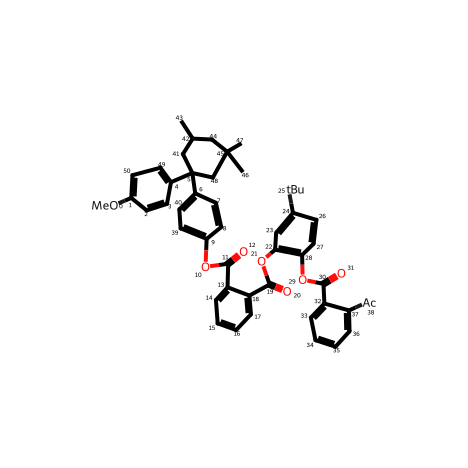 COc1ccc(C2(c3ccc(OC(=O)c4ccccc4C(=O)Oc4cc(C(C)(C)C)ccc4OC(=O)c4ccccc4C(C)=O)cc3)CC(C)CC(C)(C)C2)cc1